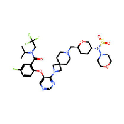 CC(C)N(CC(F)(F)F)C(=O)c1cc(F)ccc1Oc1cncnc1N1CC2(CCN(C[C@@H]3CC[C@@H](N(N4CCOCC4)[SH](=O)=O)CO3)CC2)C1